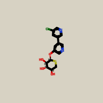 O[C@@H]1[C@@H](O)[C@H](Oc2cncc(-c3cncc(Cl)c3)c2)SC[C@H]1O